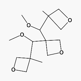 COC(C1(C)COC1)C1(C(OC)C2(C)COC2)COC1